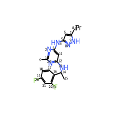 Cc1nc(Nc2cc(C(C)C)[nH]n2)cc(NC(C)c2ccc(F)cc2F)n1